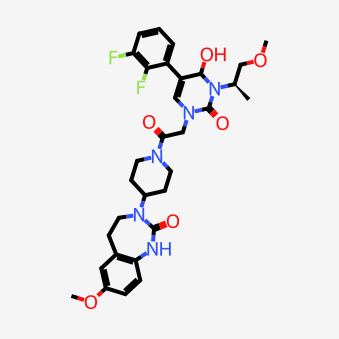 COC[C@@H](C)N1C(=O)N(CC(=O)N2CCC(N3CCc4cc(OC)ccc4NC3=O)CC2)C=C(c2cccc(F)c2F)C1O